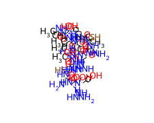 CC[C@H](C)[C@H](NC(=O)[C@@H](NC(=O)[C@@H]1C[C@@H](O)CN1C(=O)[C@@H](N)C(C)C)[C@@H](C)CC)C(=O)N[C@@H](Cc1ccc(O)cc1)C(=O)N[C@H](C(=O)N[C@@H](CC(N)=O)C(=O)N[C@@H](CCCNC(=N)N)C(=O)N[C@@H](CCN)C(=O)N[C@H](C(=O)N[C@H](CCN)C(=O)N[C@@H](CS)C(=O)N[C@@H](CCN)C(=O)N[C@@H](CCCNC(=N)N)C(=O)N[C@@H](Cc1ccc(O)cc1)C(=O)O)[C@@H](C)O)C(C)(C)S